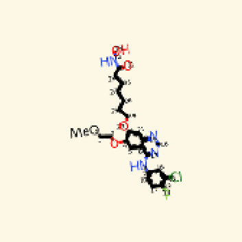 COCCOc1cc2c(Nc3ccc(F)c(Cl)c3)ncnc2cc1OCCCCCCC(=O)NO